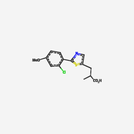 COc1ccc(-c2ncc(CC(C)C(=O)O)s2)c(Cl)c1